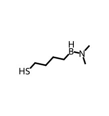 CN(C)BCCCCS